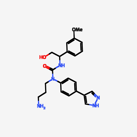 COc1cccc(C(CO)NC(=O)N(CCCN)c2ccc(-c3cn[nH]c3)cc2)c1